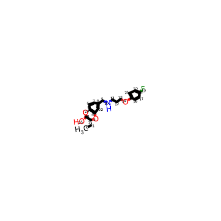 CC[C@@H](Oc1cccc(CNCCCOc2ccc(F)cc2)c1)C(=O)O